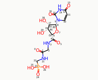 O=C(CNC(=O)[C@H]1O[C@@H](n2ccc(=O)[nH]c2=O)[C@@H](O)[C@H]1O)NCP(=O)(O)O